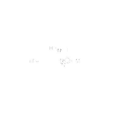 CCCCCCCCCCCCCCCCCc1nc2cc(OC)ccc2n1CCCN(C)C